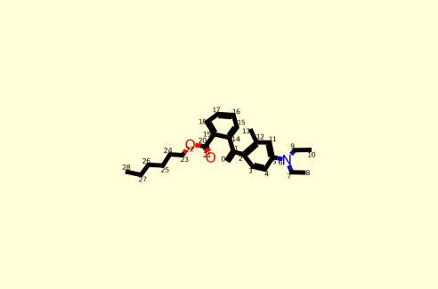 C=C(c1ccc(N(CC)CC)cc1C)c1ccccc1C(=O)OCCCCCC